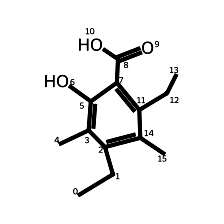 CCc1c(C)c(O)c(C(=O)O)c(CC)c1C